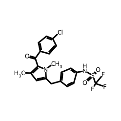 Cc1cc(Cc2ccc(NS(=O)(=O)C(F)(F)F)cc2)n(C)c1C(=O)c1ccc(Cl)cc1